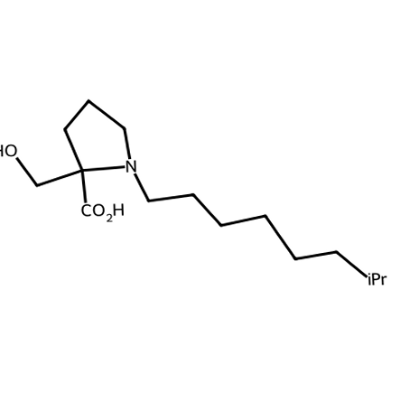 CC(C)CCCCCCN1CCCC1(CO)C(=O)O